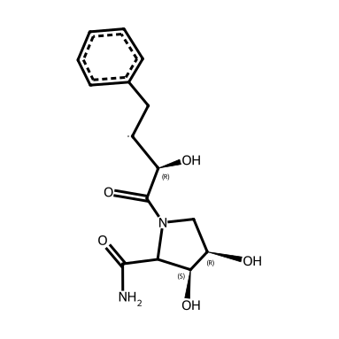 NC(=O)C1[C@H](O)[C@H](O)CN1C(=O)[C@H](O)[CH]Cc1ccccc1